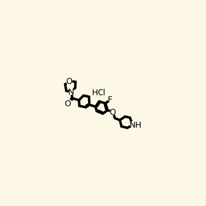 Cl.O=C(C1CC=C(c2ccc(OCC3CCNCC3)c(F)c2)CC1)N1CCOCC1